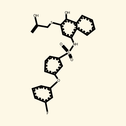 C=C(O)CSc1cc(NS(=O)(=O)c2cccc(Oc3cccc(F)c3)c2)c2ccccc2c1O